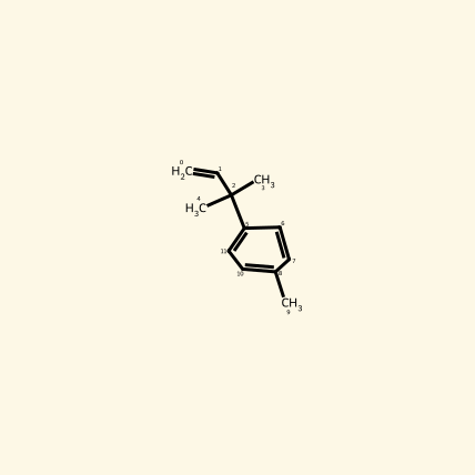 C=CC(C)(C)c1ccc(C)cc1